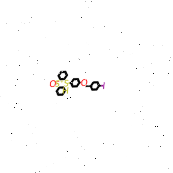 [O-][S+]1c2ccccc2[SH](c2ccc(OCc3ccc(I)cc3)cc2)c2ccccc21